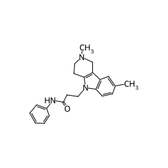 Cc1ccc2c(c1)c1c(n2CCC(=O)Nc2ccccc2)CCN(C)C1